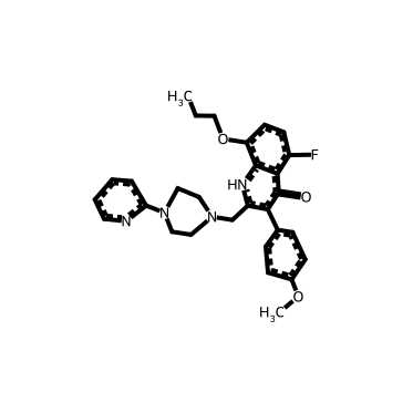 CCCOc1ccc(F)c2c(=O)c(-c3ccc(OC)cc3)c(CN3CCN(c4ccccn4)CC3)[nH]c12